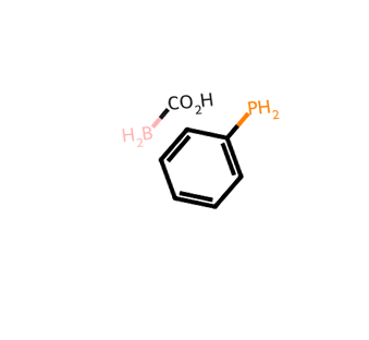 BC(=O)O.Pc1ccccc1